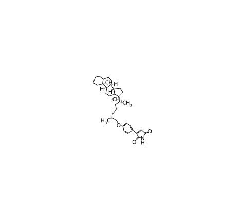 CC(CCC[C@@H](C)[C@H]1CC[C@H]2[C@@H]3CCC4CCCC[C@]4(C)[C@H]3CC[C@]12C)COc1ccc(C2=CC(=O)NC2=O)cc1